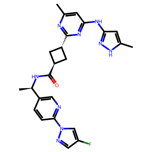 Cc1cc(Nc2cc(C)[nH]n2)nc([C@H]2C[C@H](C(=O)N[C@H](C)c3ccc(-n4cc(F)cn4)nc3)C2)n1